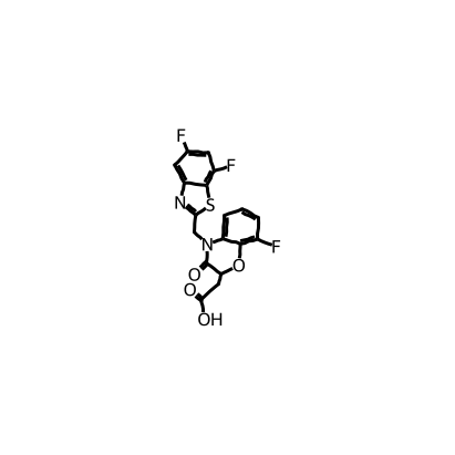 O=C(O)CC1Oc2c(F)cccc2N(Cc2nc3cc(F)cc(F)c3s2)C1=O